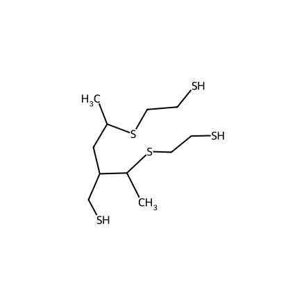 CC(CC(CS)C(C)SCCS)SCCS